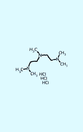 CN(C)CCN(C)CCN(C)C.Cl.Cl.Cl